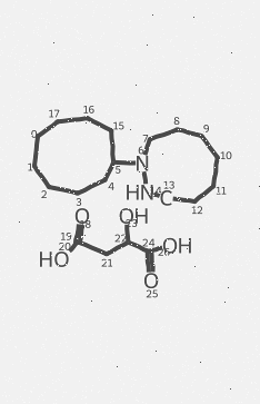 C1CCCCC(N2CCCCCCCN2)CCC1.O=C(O)CC(O)C(=O)O